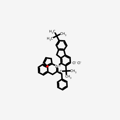 CC(C)(C)c1ccc2c(c1)Cc1c-2ccc(C(C)(C)C)[c]1[Zr+2]([C]1=CC=CC1)=[C](Cc1ccccc1)Cc1ccccc1.[Cl-].[Cl-]